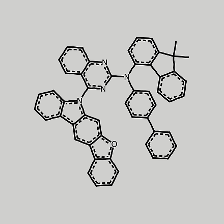 CC1(C)c2ccccc2-c2c(N(c3ccc(-c4ccccc4)cc3)c3nc(-n4c5ccccc5c5cc6c(cc54)oc4ccccc46)c4ccccc4n3)cccc21